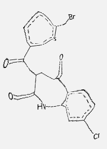 O=C1Nc2cc(Cl)ccc2C(=O)C1C(=O)c1ccc(Br)s1